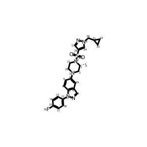 C[C@@H]1CN(c2ccc3c(cnn3-c3ccc(F)cc3)c2)CCN1S(=O)(=O)c1cnn(CC2CC2)c1